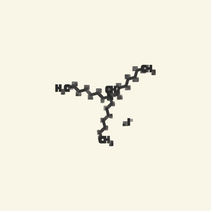 CCCCCCC[N+](C)(CCCCCCC)CCCCCCC.[I-]